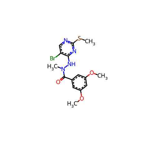 COc1cc(OC)cc(C(=O)N(C)Nc2nc(SC)ncc2Br)c1